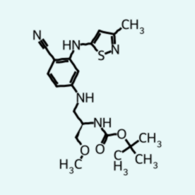 COC[C@@H](CNc1ccc(C#N)c(Nc2cc(C)ns2)c1)NC(=O)OC(C)(C)C